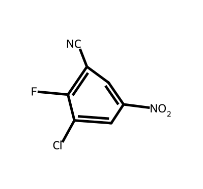 N#Cc1cc([N+](=O)[O-])cc(Cl)c1F